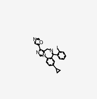 Ic1ccccc1C1=NCc2c(-c3cnco3)ncn2-c2ccc(C3CC3)cc21